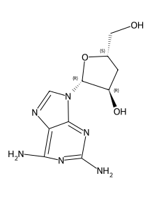 Nc1nc(N)c2ncn([C@@H]3O[C@H](CO)C[C@H]3O)c2n1